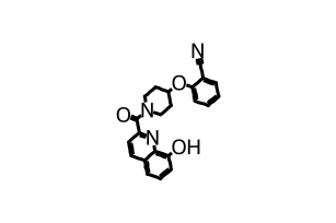 N#Cc1ccccc1OC1CCN(C(=O)c2ccc3cccc(O)c3n2)CC1